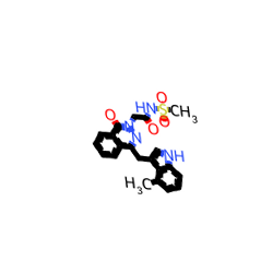 Cc1cccc2[nH]cc(Cc3nn(CC(=O)NS(C)(=O)=O)c(=O)c4ccccc34)c12